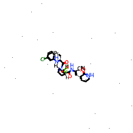 CC(C)C[C@@H](Nc1cccc(Cl)c1)C(=O)N1[C@@H]2CC[C@H]([C@@H]1C(=O)N[C@@H](C#N)C[C@H]1CCCNC1=O)C(F)(F)C2